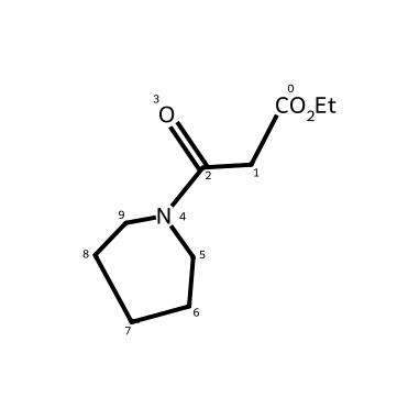 CCOC(=O)CC(=O)N1CC[CH]CC1